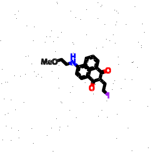 COCCNc1ccc2c3c(cccc13)C(=O)C(CCI)C2=O